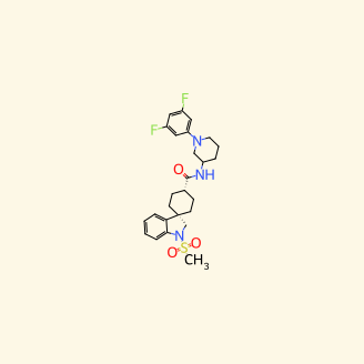 CS(=O)(=O)N1C[C@]2(CC[C@@H](C(=O)NC3CCCN(c4cc(F)cc(F)c4)C3)CC2)c2ccccc21